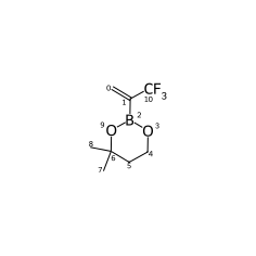 C=C(B1OCCC(C)(C)O1)C(F)(F)F